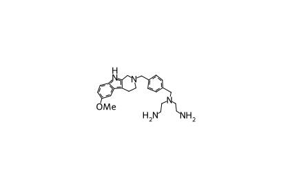 COc1ccc2[nH]c3c(c2c1)CCN(Cc1ccc(CN(CCN)CCN)cc1)C3